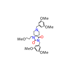 COCCCN1C(=O)N(Cc2cc(OC)cc(OC)c2)C(=O)C12CCN(Cc1cc(OC)cc(OC)c1)CC2